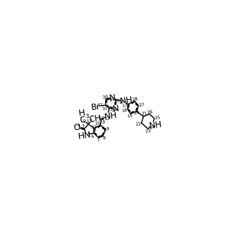 CC1(C)C(=O)Nc2cccc(CNc3nc(Nc4ccc(C5CCNCC5)cc4)ncc3Br)c21